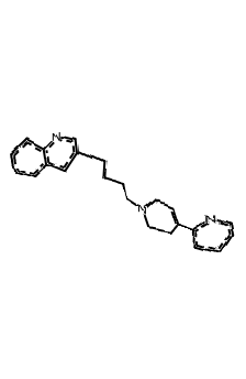 C1=C(c2ccccn2)CCN(CCCCc2cnc3ccccc3c2)C1